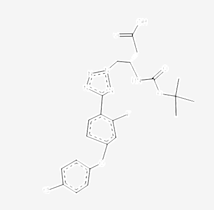 CC(C)(C)OC(=O)N[C@@H](CC(=O)O)Cn1nnc(-c2ccc(Oc3ccc(Cl)cc3)cc2F)n1